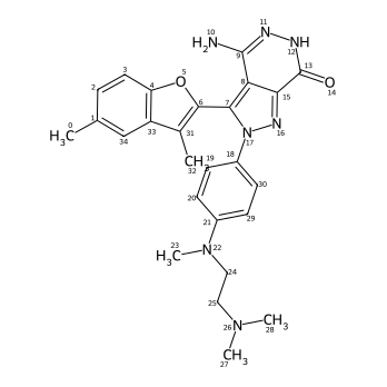 Cc1ccc2oc(-c3c4c(N)n[nH]c(=O)c4nn3-c3ccc(N(C)CCN(C)C)cc3)c(C)c2c1